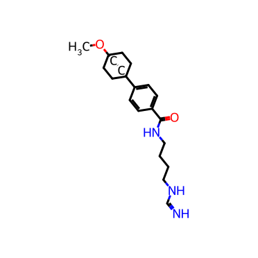 COC12CCC(c3ccc(C(=O)NCCCCNC=N)cc3)(CC1)CC2